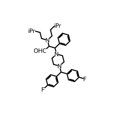 CC(C)CCN(CCC(C)C)C(C=O)C(c1ccccc1)N1CCN(C(c2ccc(F)cc2)c2ccc(F)cc2)CC1